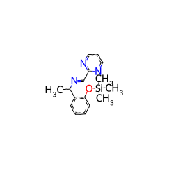 CC(/N=C/c1ncccn1)c1ccccc1O[Si](C)(C)C